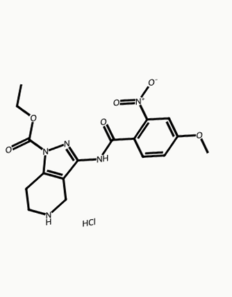 CCOC(=O)n1nc(NC(=O)c2ccc(OC)cc2[N+](=O)[O-])c2c1CCNC2.Cl